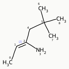 C/C=C(\N)CC(C)(C)C